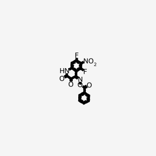 O=C1Nc2cc(F)c([N+](=O)[O-])c(F)c2C(=NOC(=O)c2ccccc2)C1=O